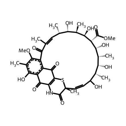 COC(=O)[C@H]1[C@H](O)[C@H](C)[C@@H](O)[C@@H](C)/C=C(/C)C(=O)c2c(OC)c(C)c(O)c3c2C(=O)C2=C(NC(=O)C(C)(/C=C\C(O)[C@@H](C)[C@@H](O)[C@@H](C)[C@H]1O)S2)C3=O